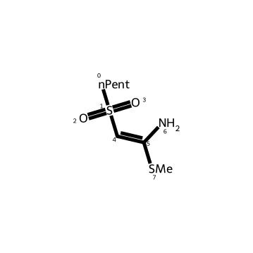 CCCCCS(=O)(=O)C=C(N)SC